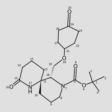 CC(C)(C)OC(=O)N1CCC[C@@]2(CCCC(=O)N2)[C@@H]1COC1CCC(=O)CC1